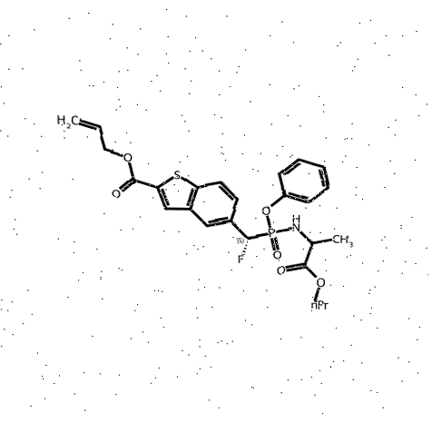 C=CCOC(=O)c1cc2cc([C@@H](F)P(=O)(NC(C)C(=O)OCCC)Oc3ccccc3)ccc2s1